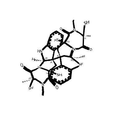 CN1C(=O)[C@@]2(S)C[C@]3([C@]45C[C@]6(S)C(=O)N(C)[C@@](C)(S)C(=O)N6[C@H]4Nc4ccccc45)c4ccccc4N[C@@H]3N2C(=O)[C@]1(C)S